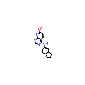 COc1ccc2c(Nc3ccc4c(c3)CCC4)ncnc2n1